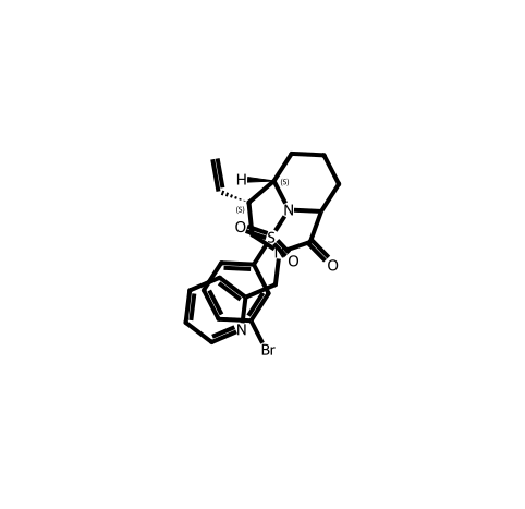 C=C[C@H]1CN(Cc2ccccn2)C(=O)C2CCC[C@@H]1N2S(=O)(=O)c1cccc(Br)c1